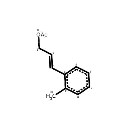 CC(=O)OCC=Cc1ccccc1C